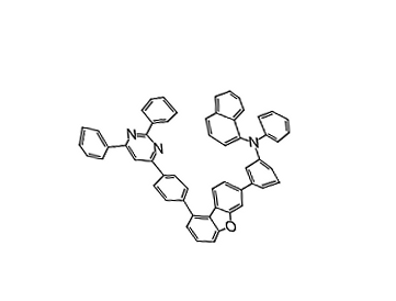 c1ccc(-c2cc(-c3ccc(-c4cccc5oc6cc(-c7cccc(N(c8ccccc8)c8cccc9ccccc89)c7)ccc6c45)cc3)nc(-c3ccccc3)n2)cc1